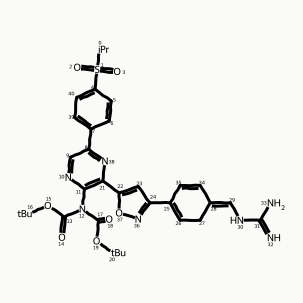 CC(C)S(=O)(=O)c1ccc(-c2cnc(N(C(=O)OC(C)(C)C)C(=O)OC(C)(C)C)c(-c3cc(C4=CCC(=CNC(=N)N)C=C4)no3)n2)cc1